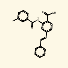 O=C(Nc1cc(C=Cc2ccccc2)ccc1C(=O)O)c1cccc(F)c1